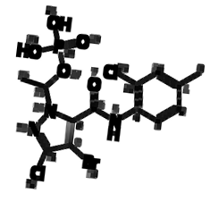 Cc1ccc(NC(=O)c2c(Br)c(Cl)nn2C(C)OP(=O)(O)O)c(Cl)c1